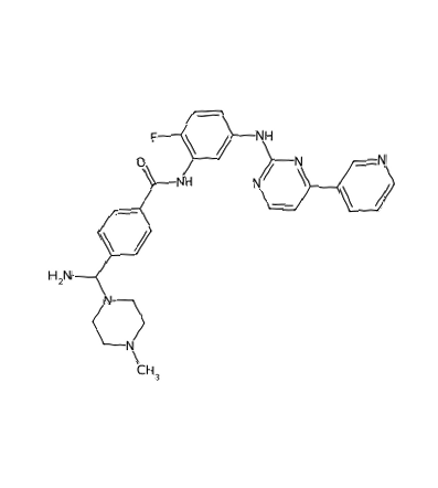 CN1CCN(C(N)c2ccc(C(=O)Nc3cc(Nc4nccc(-c5cccnc5)n4)ccc3F)cc2)CC1